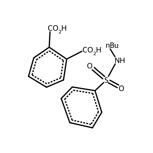 CCCCNS(=O)(=O)c1ccccc1.O=C(O)c1ccccc1C(=O)O